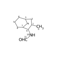 CC1CC2CCCC(C2)C1NC=O